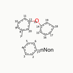 CCCCCCCCCc1ccccc1.Cc1cccc(Oc2ccccc2)c1